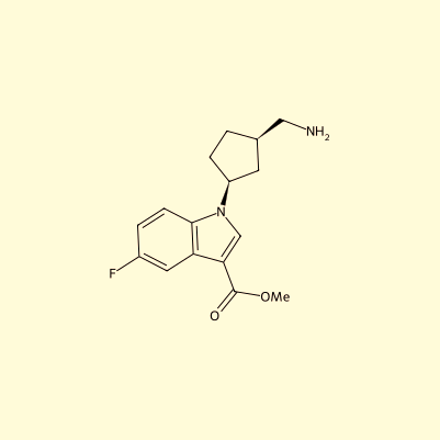 COC(=O)c1cn([C@H]2CC[C@@H](CN)C2)c2ccc(F)cc12